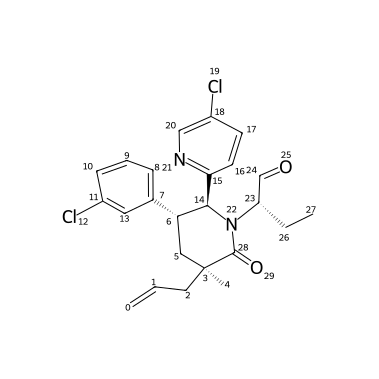 C=CC[C@@]1(C)C[C@H](c2cccc(Cl)c2)[C@@H](c2ccc(Cl)cn2)N([C@H](C=O)CC)C1=O